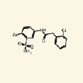 CC(=O)c1ccc(NC(=O)Cc2ccccc2Cl)cc1S(N)(=O)=O